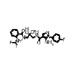 CCCN(CC(O)(CNC(=O)c1cnn(-c2ccc(F)cc2)c1N)C(F)(F)F)C(=O)c1ccccc1OC(F)F